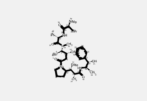 CC[C@H](C)[C@@H]([C@@H](CC(=O)N1CCCC1[C@H](OC)[C@@H](C)C(=O)N[C@H](C)[C@@H](O)c1ccccc1)OC)N(C)C(=O)[C@@H](NC(=O)[C@@H](NC)C(C)C)C(C)C